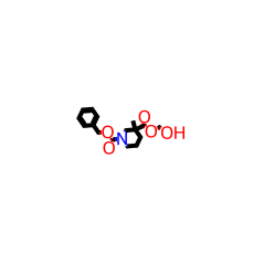 CC1(C(=O)OCO)CCCN(C(=O)OCc2ccccc2)C1